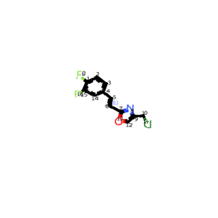 Fc1ccc(/C=C/c2nc(CCl)co2)cc1F